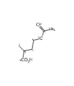 CC(=O)C(=O)OCCC(C)C(=O)O